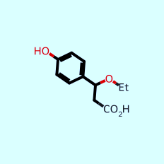 CCOC(CC(=O)O)c1ccc(O)cc1